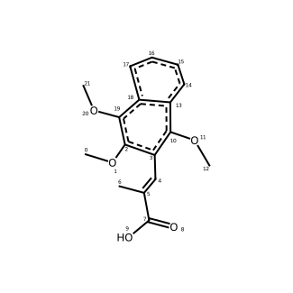 COc1c(C=C(C)C(=O)O)c(OC)c2ccccc2c1OC